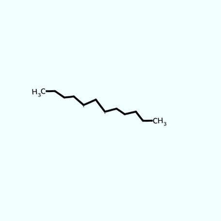 CCCC[CH]C[CH]CCCCC